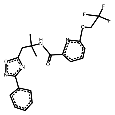 CC(C)(Cc1nc(-c2ccccc2)no1)NC(=O)c1cccc(OCC(F)(F)F)n1